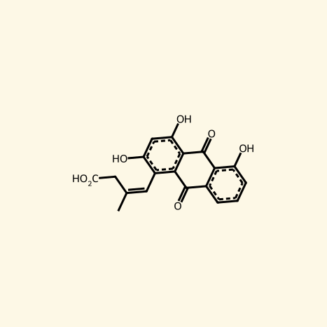 CC(=Cc1c(O)cc(O)c2c1C(=O)c1cccc(O)c1C2=O)CC(=O)O